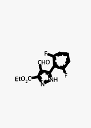 CCOC(=O)c1n[nH]c(-c2c(F)cccc2F)c1C=O